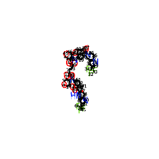 CO[C@@H]1COCC[C@@H]1N(OC(=O)CCC(=O)ON([C@@H]1CC[C@@](C(=O)N2CCc3ncc(C(F)(F)F)cc3C2)(C(C)C)C1)[C@H]1CCOC[C@H]1OC)[C@@H]1CC[C@@](C(=O)C2CCc3ncc(C(F)(F)F)cc3N2)(C(C)C)C1